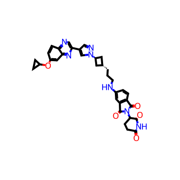 O=C1CCC(N2C(=O)c3ccc(NCCC[C@H]4C[C@H](n5cc(-c6cnc7ccc(OC8CC8)cc7n6)cn5)C4)cc3C2=O)C(=O)N1